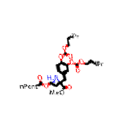 CCCCCC(=O)OCC[C@@](N)(Cc1ccc(OC(=O)OCCC(C)C)c(OC(=O)OCCC(C)C)c1)C(=O)OC